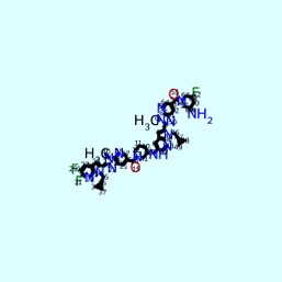 Cn1c(-c2cc3cc(N[C@@H]4CCCN(C(=O)c5cnc6c(c5)nc(-c5cc7cc(F)c(F)nc7n5CC5CC5)n6C)C4)cnc3n2CC2CC2)nc2cc(C(=O)N3C[C@@H](N)C[C@H](F)C3)cnc21